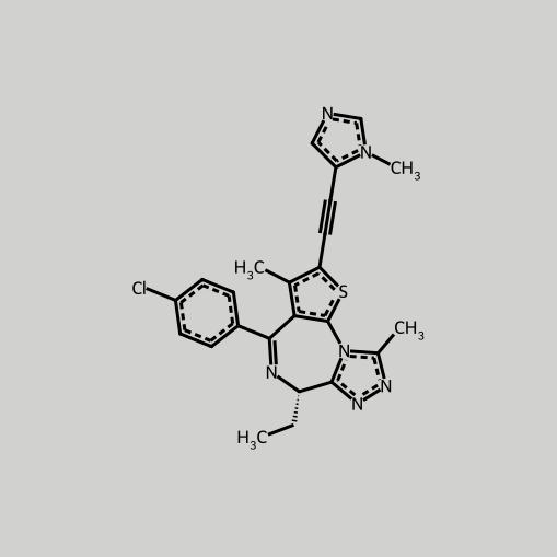 CC[C@@H]1N=C(c2ccc(Cl)cc2)c2c(sc(C#Cc3cncn3C)c2C)-n2c(C)nnc21